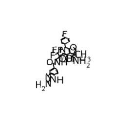 C[C@]1(C(N)=O)COc2c1cc([C@@](O)(CNC(=O)c1ccc3[nH]c(N)nc3c1)C(F)(F)F)nc2-c1ccc(F)cc1